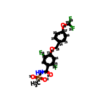 CS(=O)(=O)NC(=O)c1cc(F)c(OCc2ccc(OC(F)F)cc2)cc1F